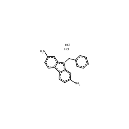 Cl.Cl.Nc1ccc2c3ccc(N)cc3n(Cc3ccncc3)c2c1